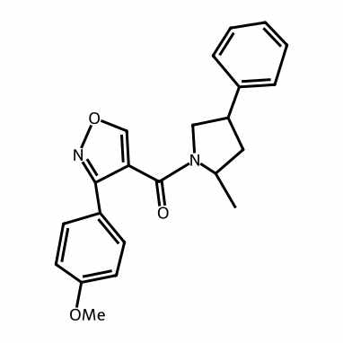 COc1ccc(-c2nocc2C(=O)N2CC(c3ccccc3)CC2C)cc1